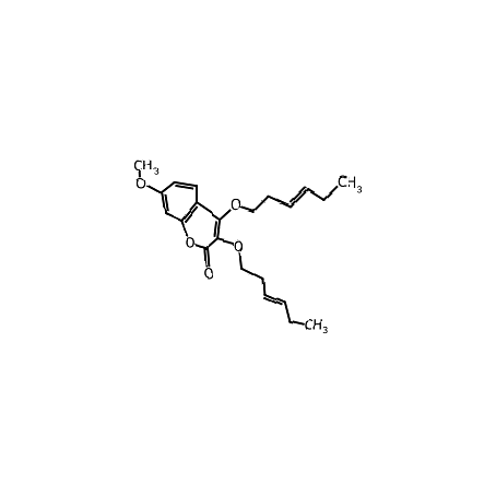 CCC=CCCOc1c(OCCC=CCC)c2ccc(OC)cc2oc1=O